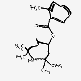 Cc1ccccc1C(=O)OC1CC(C)(C)NC(C)(C)C1